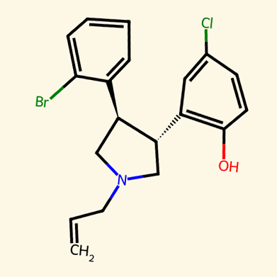 C=CCN1C[C@@H](c2cc(Cl)ccc2O)[C@H](c2ccccc2Br)C1